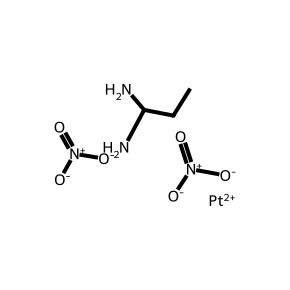 CCC(N)N.O=[N+]([O-])[O-].O=[N+]([O-])[O-].[Pt+2]